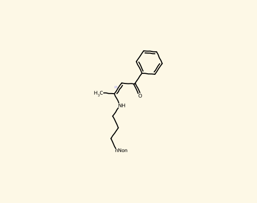 CCCCCCCCCCCCN/C(C)=C\C(=O)c1ccccc1